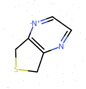 C1=NC2=C(CSC2)[N+]=C1